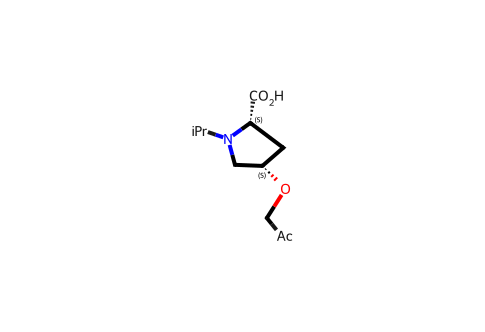 CC(=O)CO[C@H]1C[C@@H](C(=O)O)N(C(C)C)C1